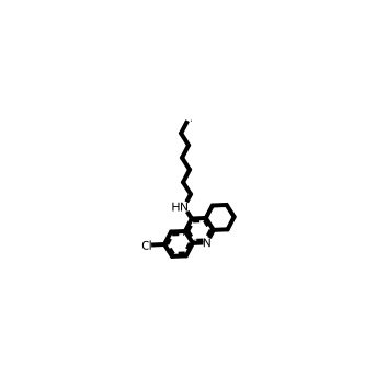 [CH2]CCCCCCNc1c2c(nc3ccc(Cl)cc13)CCCC2